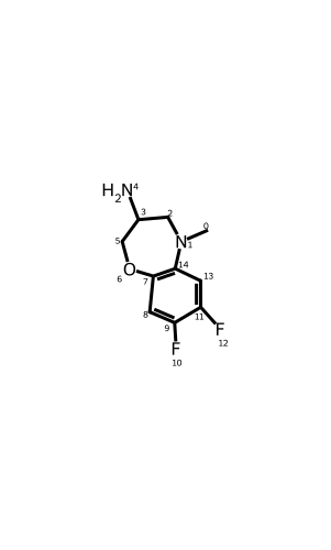 CN1CC(N)COc2cc(F)c(F)cc21